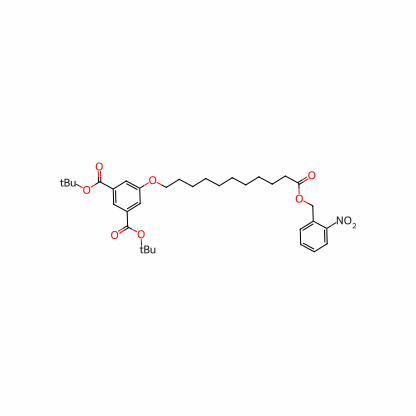 CC(C)(C)OC(=O)c1cc(OCCCCCCCCCCC(=O)OCc2ccccc2[N+](=O)[O-])cc(C(=O)OC(C)(C)C)c1